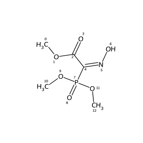 COC(=O)/C(=N\O)P(=O)(OC)OC